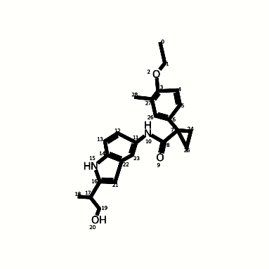 CCOc1ccc(C2(C(=O)Nc3ccc4[nH]c(C(C)CO)cc4c3)CC2)cc1C